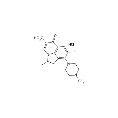 CC1Cc2c(N3CCN(C(F)(F)F)CC3)c(F)cc3c(=O)c(C(=O)O)cn1c23.Cl